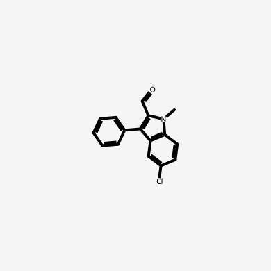 Cn1c(C=O)c(-c2ccccc2)c2cc(Cl)ccc21